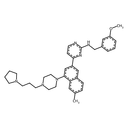 COc1cccc(CNc2nccc(-c3cc(N4CCN(CCCN5CCCC5)CC4)c4cc(C)ccc4c3)n2)c1